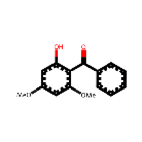 COc1cc(O)c(C(=O)c2ccccc2)c(OC)c1